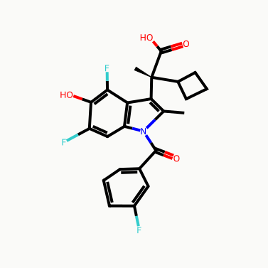 Cc1c([C@](C)(C(=O)O)C2CCC2)c2c(F)c(O)c(F)cc2n1C(=O)c1cccc(F)c1